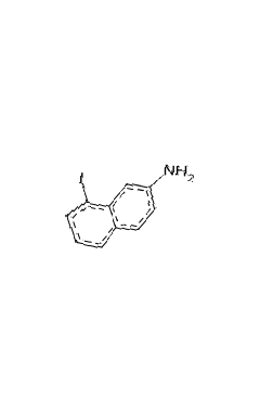 Nc1ccc2cccc(I)c2c1